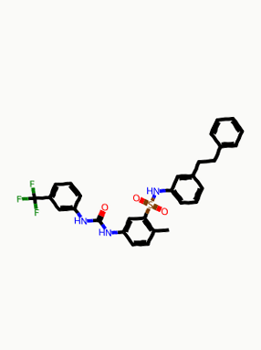 Cc1ccc(NC(=O)Nc2cccc(C(F)(F)F)c2)cc1S(=O)(=O)Nc1cccc(CCc2ccccc2)c1